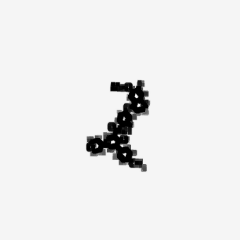 COc1cc2c(Oc3ccc(NC(=O)c4cn(C5CCOCC5)cc(-c5ccc(C)cc5)c4=O)nc3)ccnc2cc1I